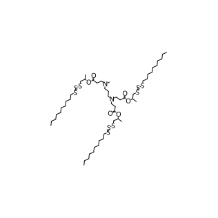 CCCCCCCCCCSSSCC(C)OC(=O)CCN(C)CCCN(CCC(=O)OC(C)CSSSCCCCCCCCCC)CCC(=O)OC(C)CSSSCCCCCCCCCC